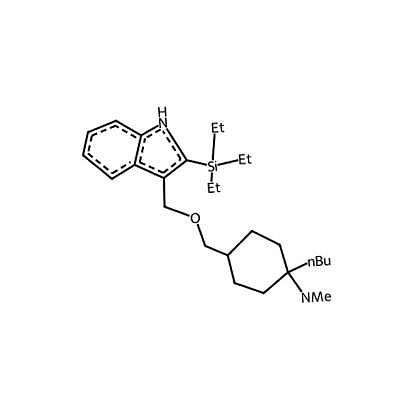 CCCCC1(NC)CCC(COCc2c([Si](CC)(CC)CC)[nH]c3ccccc23)CC1